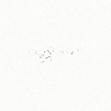 O=C(O)COCCC1CCc2cc3c(cnn3C3CCCCO3)c(Br)c21